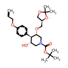 C=CCOc1ccc([C@@H]2[C@@H](O)CN(C(=O)OC(C)(C)C)C[C@H]2OC[C@H]2COC(C)(C)O2)cc1